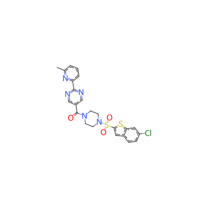 Cc1cccc(-c2ncc(C(=O)N3CCN(S(=O)(=O)c4cc5ccc(Cl)cc5s4)CC3)cn2)n1